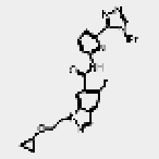 CC(C)n1cnnc1-c1cccc(NC(=O)c2cc3c(cnn3CCOC3CC3)cc2F)n1